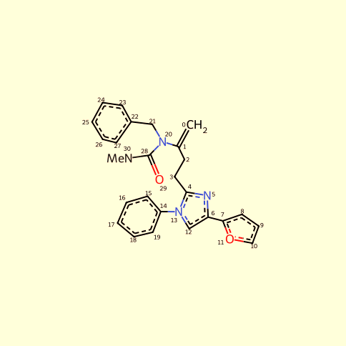 C=C(CCc1nc(-c2ccco2)cn1-c1ccccc1)N(Cc1ccccc1)C(=O)NC